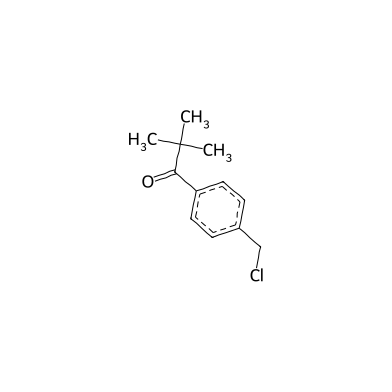 CC(C)(C)C(=O)c1ccc(CCl)cc1